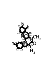 CN1C(=O)C(C)(Cc2ccc(F)cc2)NC(=O)/C1=C\c1c([N+](=O)[O-])ccc(F)c1F